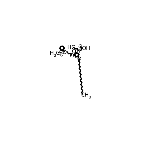 CCCCCCCCCCCCCCCCCCOc1cc(OCCCOc2ccccc2[S+](C)[O-])cc(N(CC(=O)O)CC(=O)O)c1